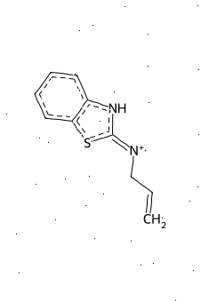 C=CC[N+]=c1[nH]c2ccccc2s1